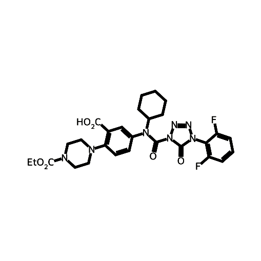 CCOC(=O)N1CCN(c2ccc(N(C(=O)n3nnn(-c4c(F)cccc4F)c3=O)C3CCCCC3)cc2C(=O)O)CC1